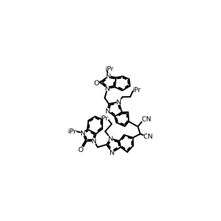 CC(C)CCn1c(Cn2c(=O)n(C(C)C)c3ccccc32)nc2ccc(C(C#N)C(C#N)c3ccc4nc(Cn5c(=O)n(C(C)C)c6ccccc65)n(CCC(C)C)c4c3)cc21